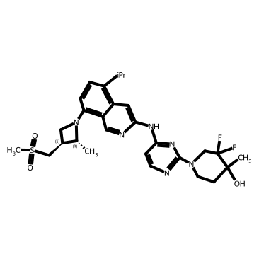 CC(C)c1ccc(N2C[C@H](CS(C)(=O)=O)[C@H]2C)c2cnc(Nc3ccnc(N4CCC(C)(O)C(F)(F)C4)n3)cc12